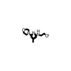 COCCNc1cc(C)cc(N2CCOCC2)n1